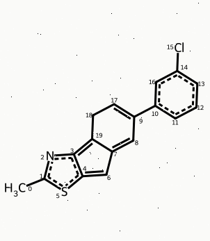 Cc1nc2c(s1)=CC1=CC(c3cccc(Cl)c3)=CCC=21